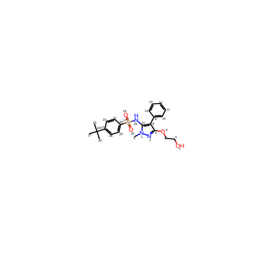 Cn1nc(OCCO)c(-c2ccccc2)c1NS(=O)(=O)c1ccc(C(C)(C)C)cc1